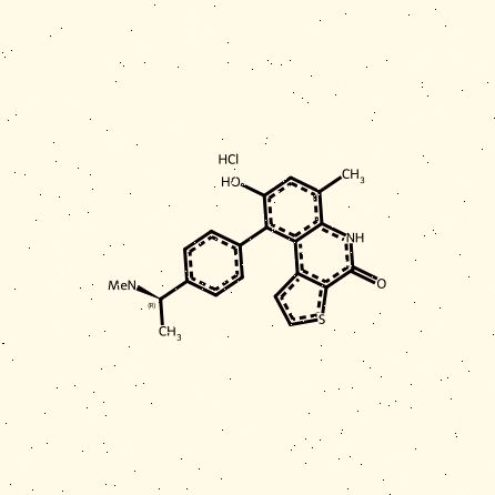 CN[C@H](C)c1ccc(-c2c(O)cc(C)c3[nH]c(=O)c4sccc4c23)cc1.Cl